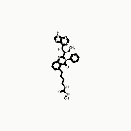 CC[C@H](Nc1ncnc2[nH]cnc12)c1nc2cccc(CCCCNC(=O)NO)c2c(=O)n1-c1ccccc1